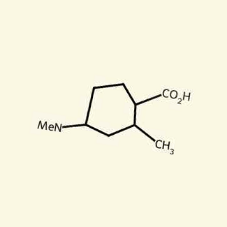 CNC1CCC(C(=O)O)C(C)C1